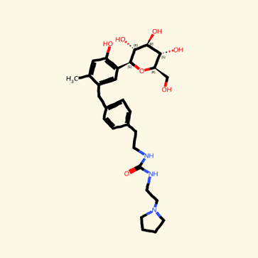 Cc1cc(O)c([C@@H]2O[C@H](CO)[C@@H](O)[C@H](O)[C@H]2O)cc1Cc1ccc(CCNC(=O)NCCN2CCCC2)cc1